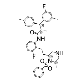 Cc1ccc([C@@H](c2cc(C)cc(F)c2)[C@H](C)C(=O)Nc2cccc(F)c2CC[C@H]2CNC[C@H](C)N2S(=O)(=O)c2ccccc2)cc1